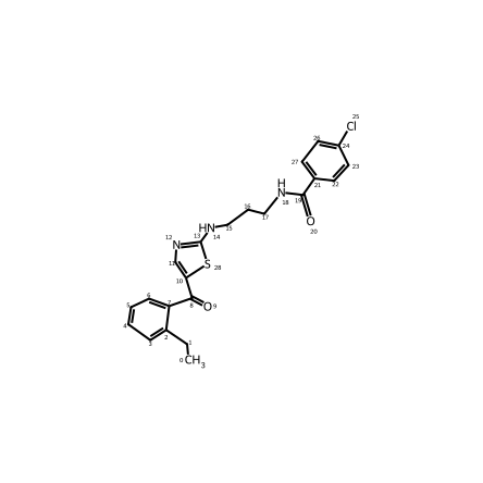 CCc1ccccc1C(=O)c1cnc(NCCCNC(=O)c2ccc(Cl)cc2)s1